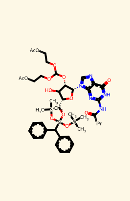 CC(=O)OCCOC(OCCOC(C)=O)O[C@H]1C(O)[C@@H](CO[Si](O[Si](C)(C)C)(O[Si](C)(C)C)C(c2ccccc2)c2ccccc2)O[C@H]1n1cnc2c(=O)[nH]c(NC(=O)C(C)C)nc21